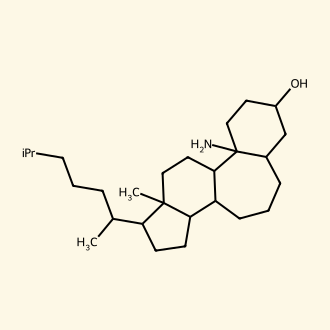 CC(C)CCCC(C)C1CCC2C3CCCC4CC(O)CCC4(N)C3CCC12C